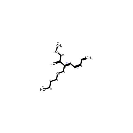 C=C/C=C\C=C(/COCCCO)C(=O)COC